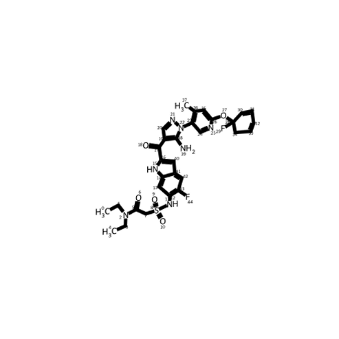 CCN(CC)C(=O)CS(=O)(=O)Nc1cc2[nH]c(C(=O)c3cnn(-c4cnc(OC5(F)C=CC=CC5)cc4C)c3N)cc2cc1F